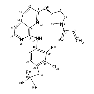 C=CC(=O)N1CC[C@H](Oc2ccc3ncnc(Nc4ccc(CC(F)(F)F)c(Cl)c4F)c3n2)C1